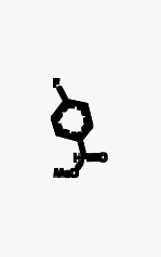 CO[PH](=O)c1ccc(F)cc1